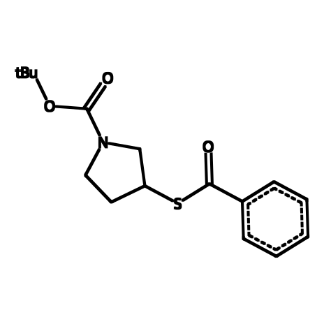 CC(C)(C)OC(=O)N1CCC(SC(=O)c2ccccc2)C1